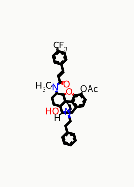 CC(=O)Oc1ccc2c3c1OC1C(N(C)C(=O)/C=C/c4ccc(C(F)(F)F)cc4)CC[C@@]4(O)[C@@H](C2)N(CCc2ccccc2)CC[C@]314